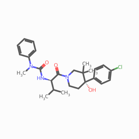 CC(C)[C@@H](NC(=O)N(C)c1ccccc1)C(=O)N1CC[C@](O)(c2ccc(Cl)cc2)C(C)(C)C1